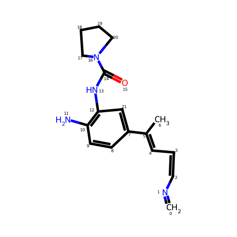 C=N/C=C\C=C(/C)c1ccc(N)c(NC(=O)N2CCCC2)c1